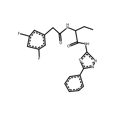 CCC(NC(=O)Cc1cc(F)cc(F)c1)C(=O)Nc1nnc(-c2ccccc2)s1